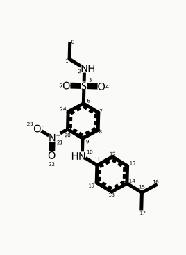 CCNS(=O)(=O)c1ccc(Nc2ccc(C(C)C)cc2)c([N+](=O)[O-])c1